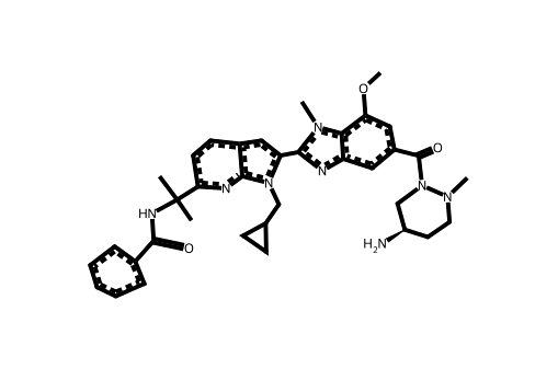 COc1cc(C(=O)N2C[C@H](N)CCN2C)cc2nc(-c3cc4ccc(C(C)(C)NC(=O)c5ccccc5)nc4n3CC3CC3)n(C)c12